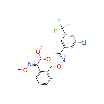 CO/N=C(/C(=O)OC)c1cccc(C)c1CO/N=C(\C)c1cc(Cl)cc(C(F)(F)F)c1